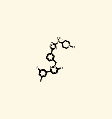 CCN1CCC(N(C)c2nc(-c3cccc(Cn4nc(-c5cc(F)cc(F)c5)ccc4=O)c3)no2)CC1